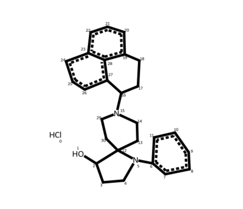 Cl.OC1CCN(c2ccccc2)C12CCN(C1CCc3cccc4cccc1c34)CC2